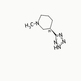 CN1CCC[C@@H](c2nn[nH]n2)C1